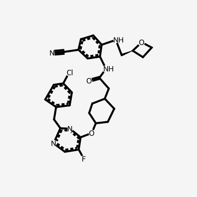 N#Cc1ccc(NC[C@@H]2CCO2)c(NC(=O)CC2CCC(Oc3nc(Cc4ccc(Cl)cc4)ncc3F)CC2)c1